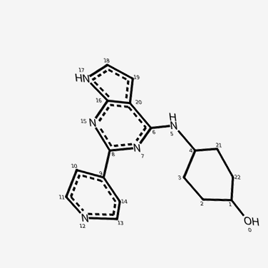 OC1CCC(Nc2nc(-c3ccncc3)nc3[nH]ccc23)CC1